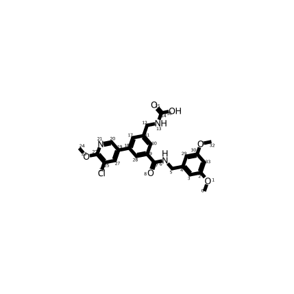 COc1cc(CNC(=O)c2cc(CNC(=O)O)cc(-c3cnc(OC)c(Cl)c3)c2)cc(OC)c1